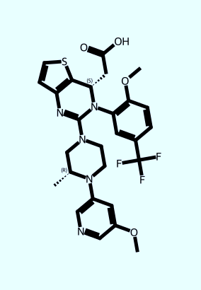 COc1cncc(N2CCN(C3=Nc4ccsc4[C@H](CC(=O)O)N3c3cc(C(F)(F)F)ccc3OC)C[C@H]2C)c1